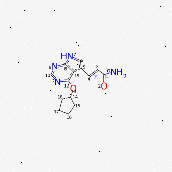 NC(=O)/C=C/c1c[nH]c2ncnc(OC3CCCC3)c12